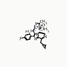 C=C(/N=C\C=C(/N)c1c(-c2ccc(F)cc2)nc2c(CC3CC3)nccn12)S(C)(=O)=O